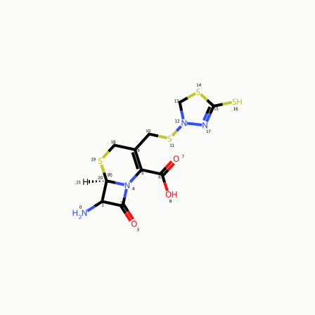 NC1C(=O)N2C(C(=O)O)=C(CSN3CSC(S)=N3)CS[C@H]12